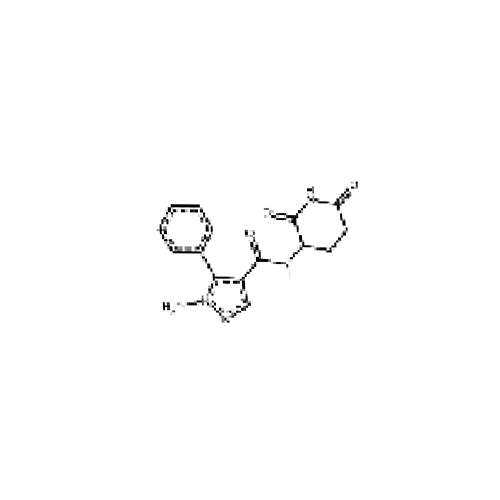 Cn1ncc(C(=O)NC2CCC(=O)NC2=O)c1-c1ccccc1